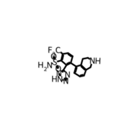 NS(=O)(=O)c1c(C(F)(F)F)ccc(-c2cccc3c2CCNC3)c1-c1nn[nH]n1